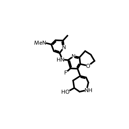 CNc1cc(C)nc(Nc2nc3c(c(C4=CCNCC(O)C4)c2F)OCCC3)c1